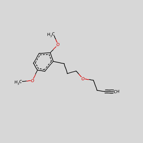 C#CCCOCCCc1cc(OC)ccc1OC